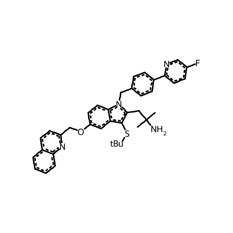 CC(C)(N)Cc1c(SC(C)(C)C)c2cc(OCc3ccc4ccccc4n3)ccc2n1Cc1ccc(-c2ccc(F)cn2)cc1